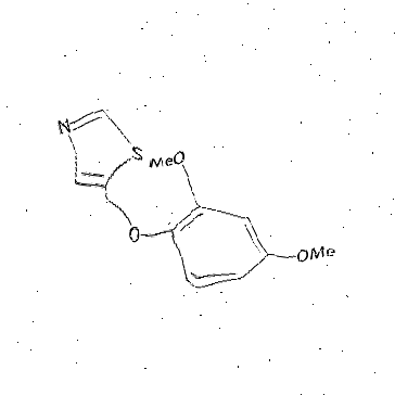 COc1ccc(Oc2cn[c]s2)c(OC)c1